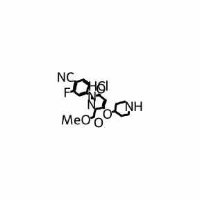 COC(=O)c1nn(-c2ccc(C#N)c(F)c2)c(=O)cc1OC1CCNCC1.Cl